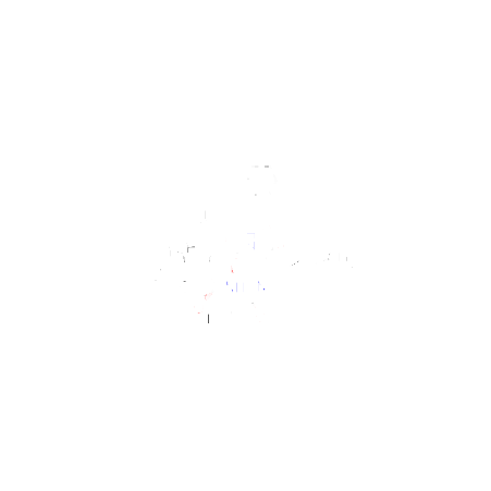 C=CC[C@H]1CN(C(=O)[C@H](C)NC(=O)OC(C)(C)C)C[C@@]1(NC(=O)OC(C)(C)C)C(=O)OCc1ccccc1